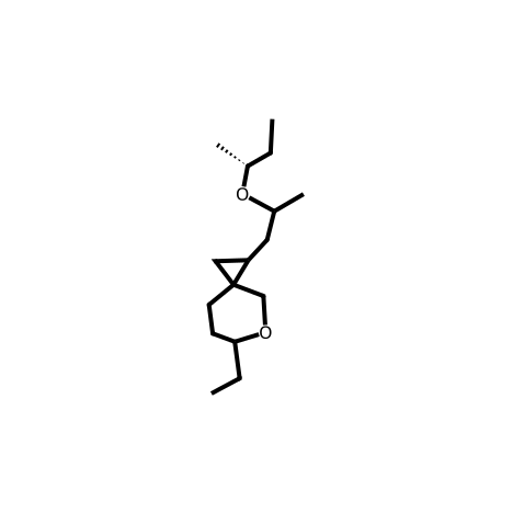 CCC1CCC2(CO1)CC2CC(C)O[C@H](C)CC